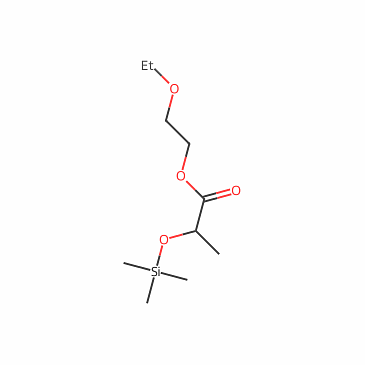 CCOCCOC(=O)C(C)O[Si](C)(C)C